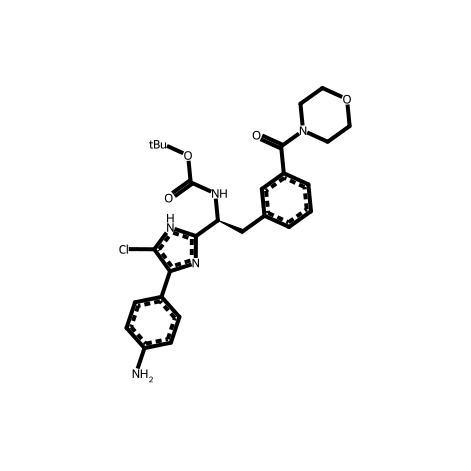 CC(C)(C)OC(=O)N[C@@H](Cc1cccc(C(=O)N2CCOCC2)c1)c1nc(-c2ccc(N)cc2)c(Cl)[nH]1